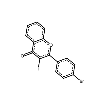 O=c1c(I)c(-c2ccc(Br)cc2)oc2ccccc12